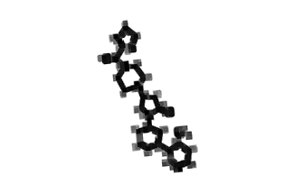 O=C(c1nccs1)N1CCN(C2CC(=O)N(c3cccc(-c4cnccc4C(F)(F)F)c3)C2)CC1